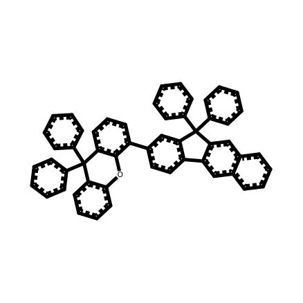 c1ccc(C2(c3ccccc3)c3cc(-c4cccc5c4Oc4ccccc4C5(c4ccccc4)c4ccccc4)ccc3-c3cc4ccccc4cc32)cc1